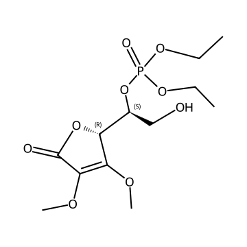 CCOP(=O)(OCC)O[C@@H](CO)[C@H]1OC(=O)C(OC)=C1OC